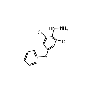 NNc1c(Cl)cc(Sc2ccccc2)cc1Cl